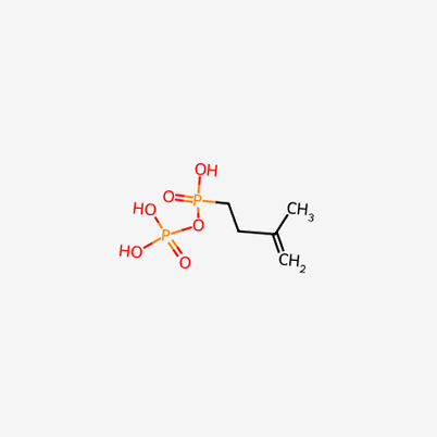 C=C(C)CCP(=O)(O)OP(=O)(O)O